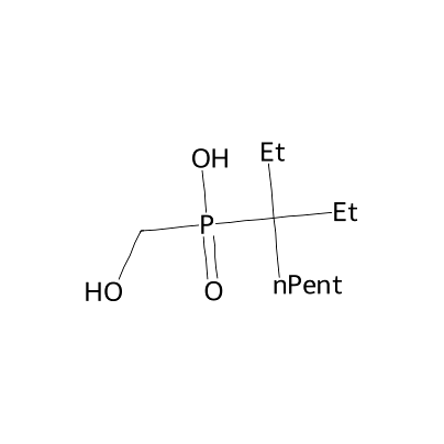 CCCCCC(CC)(CC)P(=O)(O)CO